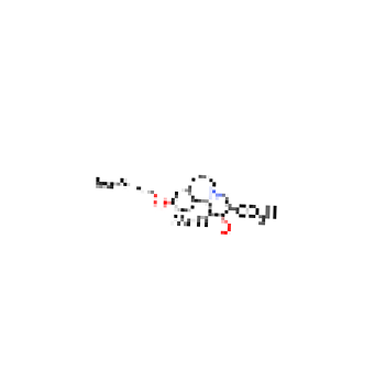 COc1c2n(cc(C(=O)O)c1=O)CCCc1cc(OCCCSC)ccc1-2